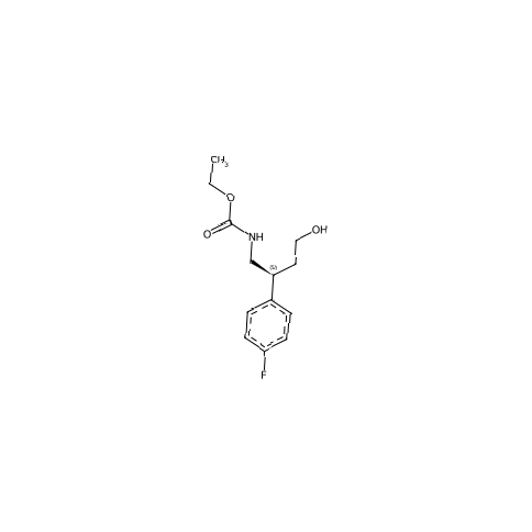 CCOC(=O)NC[C@@H](CCO)c1ccc(F)cc1